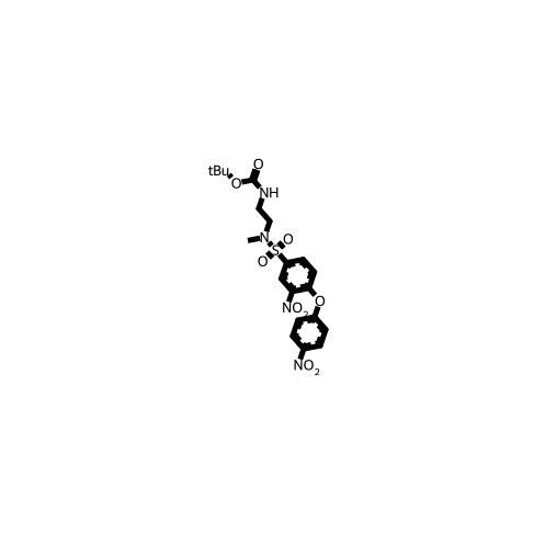 CN(CCNC(=O)OC(C)(C)C)S(=O)(=O)c1ccc(Oc2ccc([N+](=O)[O-])cc2)c([N+](=O)[O-])c1